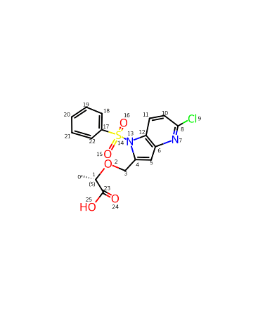 C[C@H](OCc1cc2nc(Cl)ccc2n1S(=O)(=O)c1ccccc1)C(=O)O